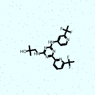 CC(C)(O)CNc1nc(Nc2ccnc(C(C)(F)F)c2)nc(-c2cccc(C(C)(F)F)n2)n1